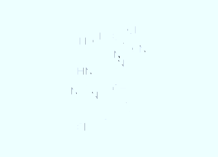 CC1=NN(C(C)(C)C#N)C(C)C1Nc1ncc(Cl)c(OC2CC2)n1